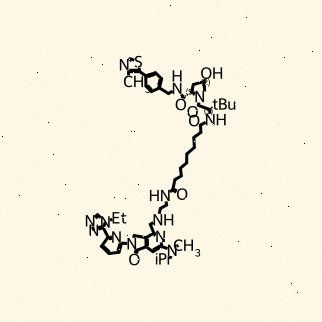 CCn1cnnc1-c1cccc(N2Cc3c(cc(N(C)C(C)C)nc3CNCCNC(=O)CCCCCCCCC(=O)N[C@H](C(=O)N3C[C@H](O)C[C@H]3C(=O)NCc3ccc(-c4scnc4C)cc3)C(C)(C)C)C2=O)n1